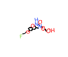 O=c1[nH]c(=O)n(COCCO)cc1Cc1cccc(OCCCF)c1